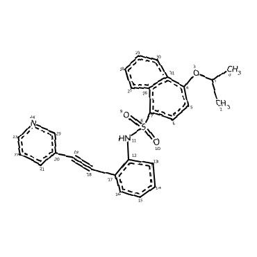 CC(C)Oc1ccc(S(=O)(=O)Nc2ccccc2C#Cc2cccnc2)c2ccccc12